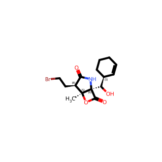 C[C@@]12OC(=O)[C@]1(C(O)[C@@H]1C=CCCC1)NC(=O)[C@@H]2CCBr